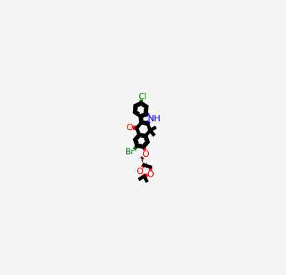 CC1(C)OC[C@@H](COc2cc3c(cc2Br)C(=O)c2c([nH]c4cc(Cl)ccc24)C3(C)C)O1